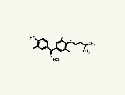 CN(C)CCOc1c(I)cc(C(=O)c2ccc(O)c(I)c2)cc1I.Cl